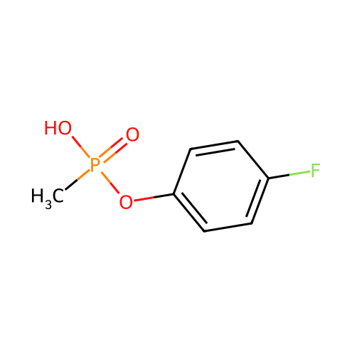 CP(=O)(O)Oc1ccc(F)cc1